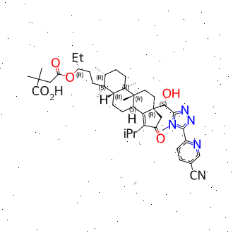 CC[C@H](CC[C@@]1(C)[C@H](C)CC[C@]2(C)[C@@H]1CC[C@@H]1C3=C(C(C)C)C(=O)C[C@]3([C@H](O)c3nnc(-c4ccc(C#N)cn4)n3C)CC[C@]12C)OC(=O)CC(C)(C)C(=O)O